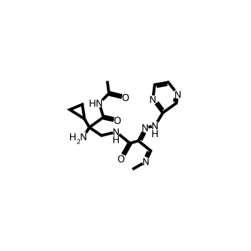 C/N=C\C(=N/Nc1cnccn1)C(=O)NCC(N)(C(=O)NC(C)=O)C1CC1